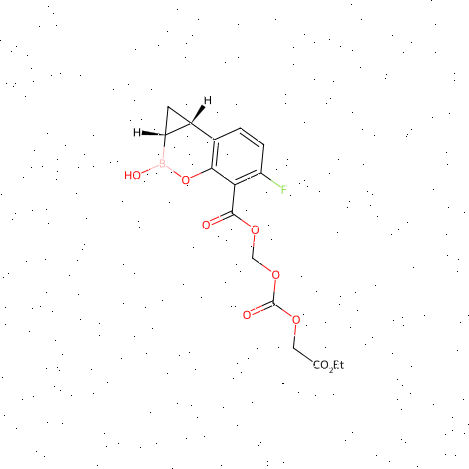 CCOC(=O)COC(=O)OCOC(=O)c1c(F)ccc2c1OB(O)[C@@H]1C[C@H]21